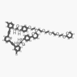 Cc1ccc(NC(=O)Nc2ccc(OCCOCCOCCOCCOCCOC3CCCCO3)cc2)c(C#Cc2cccc(C#Cc3cc(C)ccc3NC(=O)Nc3ccc(C4CCCCO4)cc3)n2)c1